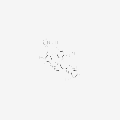 CCCc1ccc(Oc2nc(Nc3ccc(OC[C@@H]4CCCN4)c(F)c3)ncc2C(=O)Nc2c(C)cccc2C)c(OC)c1